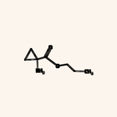 CCCOC(=O)C1(N)CC1